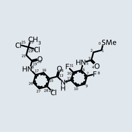 CSCCC(=O)Nc1c(F)ccc(NC(=O)c2cc(NC(=O)CC(C)(Cl)Cl)ccc2Cl)c1F